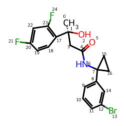 C[C@](O)(CC(=O)NC1(c2cccc(Br)c2)CC1)c1ccc(F)cc1F